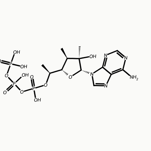 C[C@H](OP(=O)(O)OP(=O)(O)OP(=O)(O)O)[C@H]1O[C@@H](n2cnc3c(N)ncnc32)[C@](C)(O)[C@@H]1C